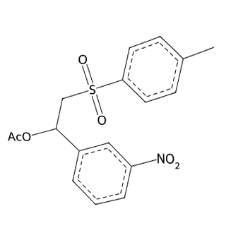 CC(=O)OC(CS(=O)(=O)c1ccc(C)cc1)c1cccc([N+](=O)[O-])c1